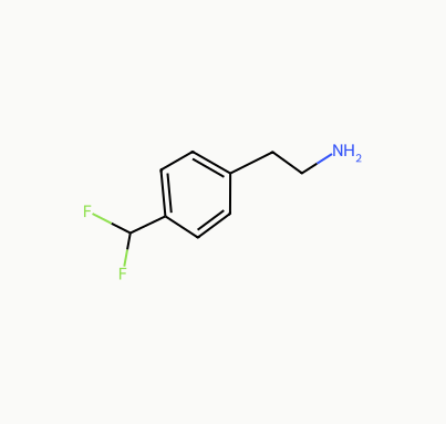 NCCc1ccc(C(F)F)cc1